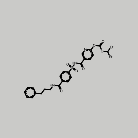 CCC(CC)OC(=O)Oc1ccc(C(=O)NS(=O)(=O)c2ccc(C(=O)NCCCc3ccccc3)cc2)cn1